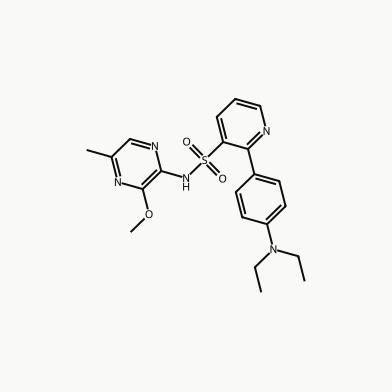 CCN(CC)c1ccc(-c2ncccc2S(=O)(=O)Nc2ncc(C)nc2OC)cc1